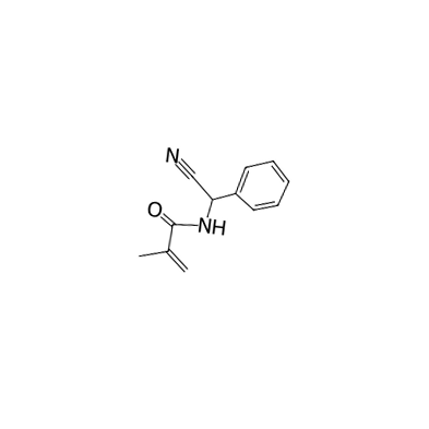 C=C(C)C(=O)NC(C#N)c1ccccc1